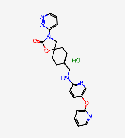 Cl.O=C1OC2(CCC(CNc3ccc(Oc4ccccn4)cn3)CC2)CN1c1cccnn1